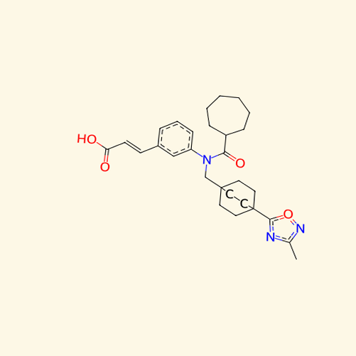 Cc1noc(C23CCC(CN(C(=O)C4CCCCCC4)c4cccc(/C=C/C(=O)O)c4)(CC2)CC3)n1